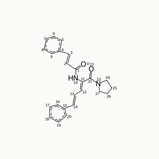 O=C(C=Cc1ccccc1)N/C(=C\C=C\c1ccccc1)C(=O)N1CCCC1